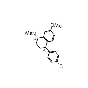 CN[C@H]1CC[C@H](c2ccc(Cl)cc2)c2ccc(OC)cc21